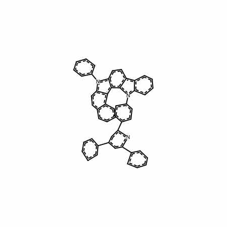 c1ccc(-c2cc(-c3ccccc3)nc(-c3ccc(-n4c5ccccc5c5ccc6c(c7c8ccccc8ccc7n6-c6ccccc6)c54)cc3)c2)cc1